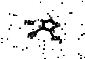 Cc1sccc1N.Cl